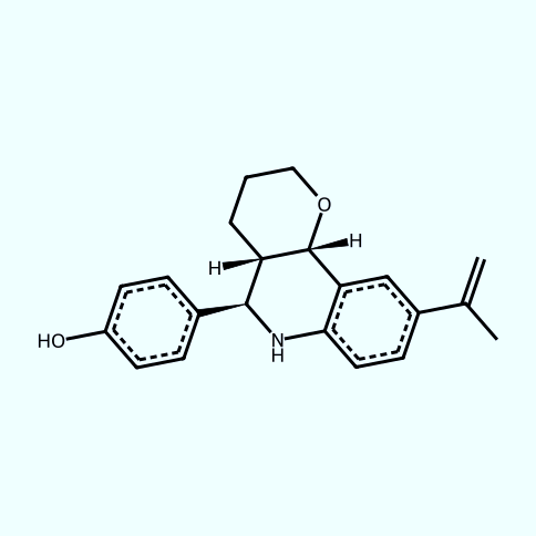 C=C(C)c1ccc2c(c1)[C@H]1OCCC[C@H]1[C@H](c1ccc(O)cc1)N2